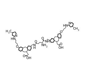 Cc1ccnc(NCCCOc2ccc3c(c2)Cc2cc(CNC(=O)CCC(N)C(=O)NCc4ccc5c(c4)Cc4cc(OCCCNc6cc(C)ccn6)ccc4CC5CC(=O)O)ccc2C(CC(=O)O)C3)c1